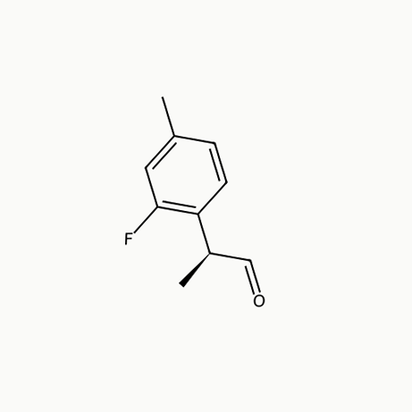 Cc1ccc([C@H](C)C=O)c(F)c1